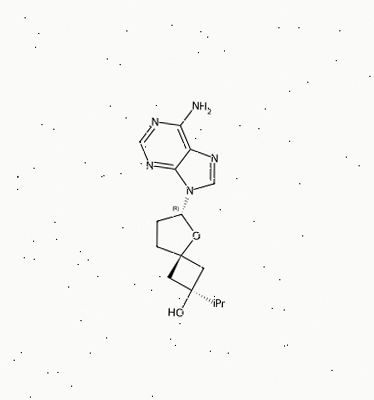 CC(C)[C@]1(O)C[C@]2(CC[C@H](n3cnc4c(N)ncnc43)O2)C1